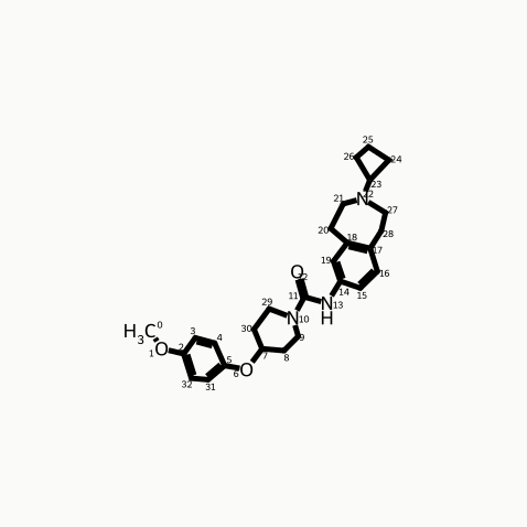 COc1ccc(OC2CCN(C(=O)Nc3ccc4c(c3)CCN(C3CCC3)CC4)CC2)cc1